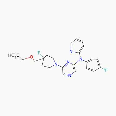 O=C(O)COCC1(F)CCN(c2cncc(N(c3ccc(F)cc3)c3ccccn3)n2)CC1